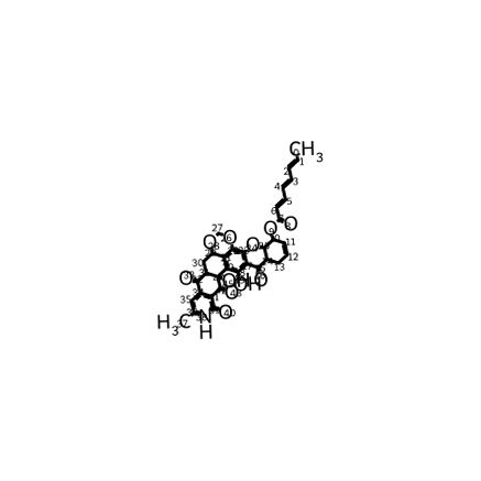 C/C=C/C=C/C=C/C(=O)OC1C=CCC2C(=O)c3c(O)c4c5c(c3OC12)OCOC5CC1C(=O)c2cc(C)[nH]c(=O)c2C(=O)C41O